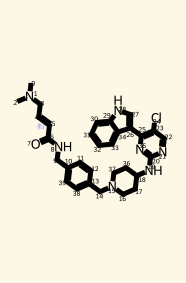 CN(C)C/C=C/C(=O)NCc1ccc(CN2CCC(Nc3ncc(Cl)c(-c4c[nH]c5ccccc45)n3)CC2)cc1